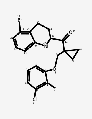 Cc1c(Cl)cccc1OCC1(C(=O)C2CCc3c(Br)cccc3N2)CC1